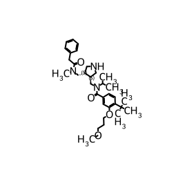 COCCCOc1cc(C(=O)N(C[C@@H]2CNC[C@H]2CN(C)C(=O)Cc2ccccc2)C(C)C)ccc1C(C)(C)C